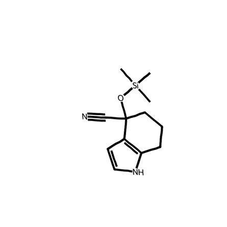 C[Si](C)(C)OC1(C#N)CCCc2[nH]ccc21